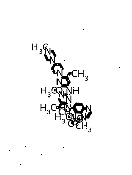 CCc1cc(Nc2ncc(C(C)C)c(Nc3ccc4nccnc4c3N(C)S(C)(=O)=O)n2)c(OC)nc1N1CCC(N2CCN(C)CC2)CC1